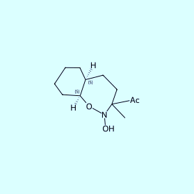 CC(=O)C1(C)CC[C@@H]2CCCC[C@@H]2ON1O